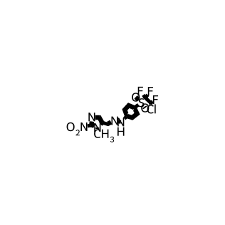 Cn1c(C=NNc2ccc(S(=O)(=O)C(F)(F)C(F)Cl)cc2)cnc1[N+](=O)[O-]